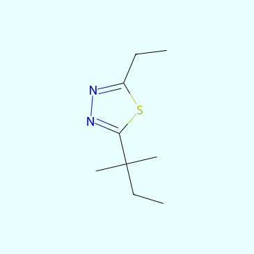 CCc1nnc(C(C)(C)CC)s1